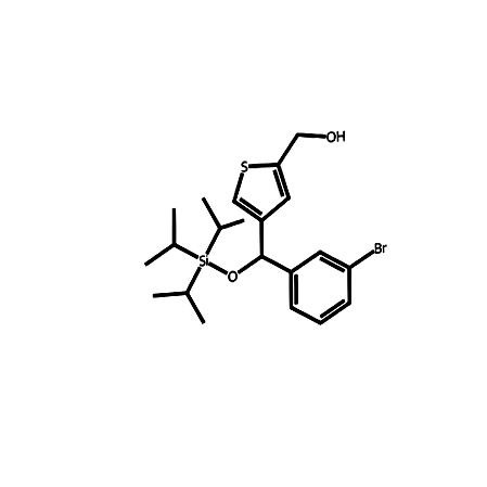 CC(C)[Si](OC(c1cccc(Br)c1)c1csc(CO)c1)(C(C)C)C(C)C